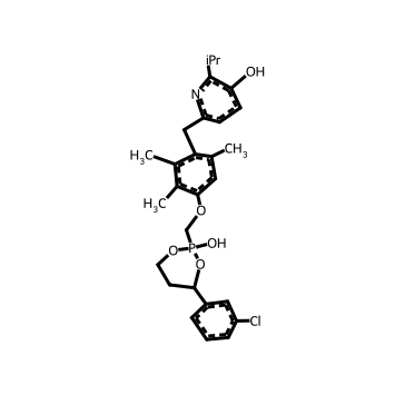 Cc1cc(OC[P]2(O)OCCC(c3cccc(Cl)c3)O2)c(C)c(C)c1Cc1ccc(O)c(C(C)C)n1